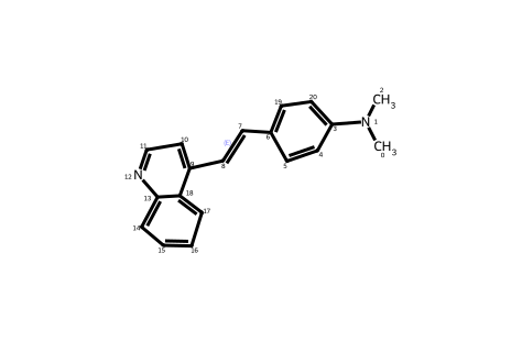 CN(C)c1ccc(/C=C/c2ccnc3ccccc23)cc1